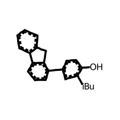 CCC(C)c1cc(-c2cccc3c2Cc2ccccc2-3)ccc1O